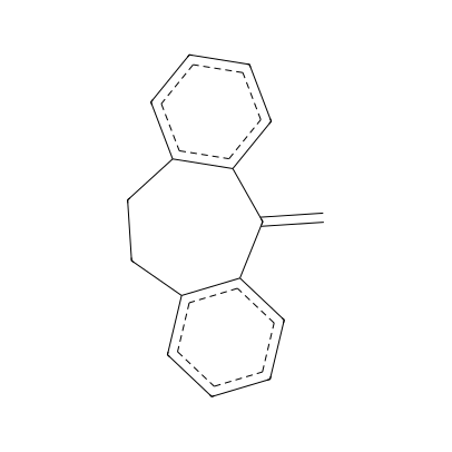 C=C1c2ccccc2CCc2ccccc21